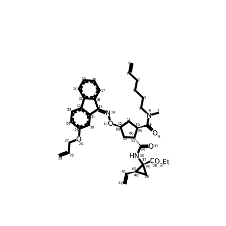 C=CCCCCN(C)C(=O)[C@@H]1C[C@H](ON=C2c3ccccc3-c3ccc(OCC=C)cc32)C[C@H]1C(=O)N[C@]1(C(=O)OCC)C[C@H]1C=C